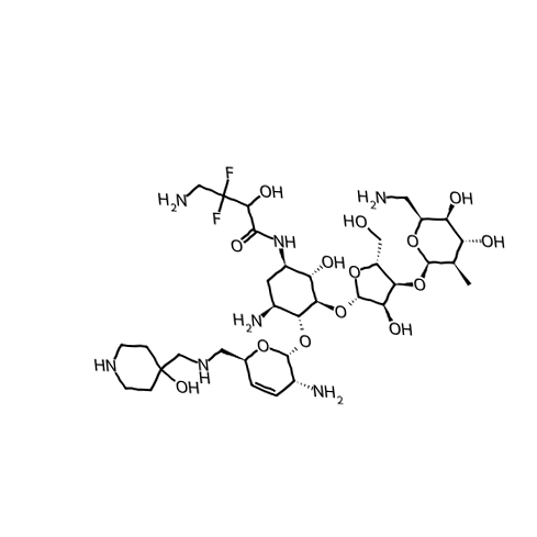 C[C@H]1[C@@H](O[C@H]2[C@@H](O)[C@H](O[C@@H]3[C@@H](O)[C@H](NC(=O)C(O)C(F)(F)CN)C[C@H](N)[C@H]3O[C@H]3O[C@H](CNCC4(O)CCNCC4)C=C[C@H]3N)O[C@@H]2CO)O[C@@H](CN)[C@@H](O)[C@@H]1O